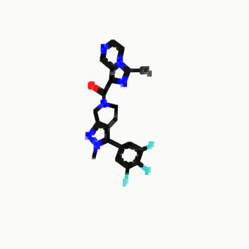 Cn1nc2c(c1-c1cc(F)c(F)c(F)c1)CCN(C(=O)c1nc(C(F)(F)F)n3ccncc13)C2